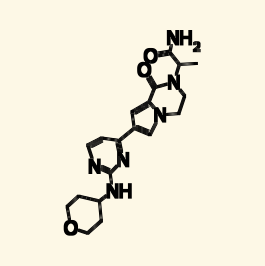 CC(C(N)=O)N1CCn2cc(-c3ccnc(NC4CCOCC4)n3)cc2C1=O